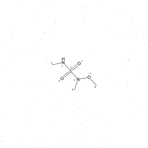 CNS(=O)(=O)N(C)OC